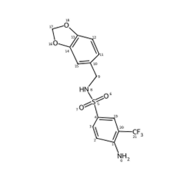 Nc1ccc(S(=O)(=O)NCc2ccc3c(c2)OCO3)cc1C(F)(F)F